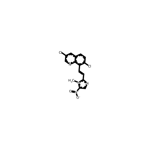 Cn1c([N+](=O)[O-])cnc1C=Cc1c(Cl)ccc2cc(Cl)cnc12